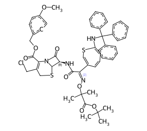 COc1ccc(COC(=O)C2=C(CCl)CSC3[C@H](NC(=O)/C(=N\OC(C)(C)C(=O)OC(C)(C)C)C4=CSC(NC(c5ccccc5)(c5ccccc5)c5ccccc5)=CC=C4)C(=O)N23)cc1